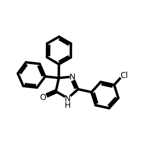 O=C1NC(c2cccc(Cl)c2)=NC1(c1ccccc1)c1ccccc1